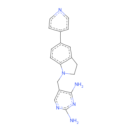 Nc1ncc(CN2CCc3cc(-c4ccncc4)ccc32)c(N)n1